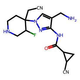 N#CCC1(n2cc(CN)c(NC(=O)C3CC3C#N)n2)CCNCC1F